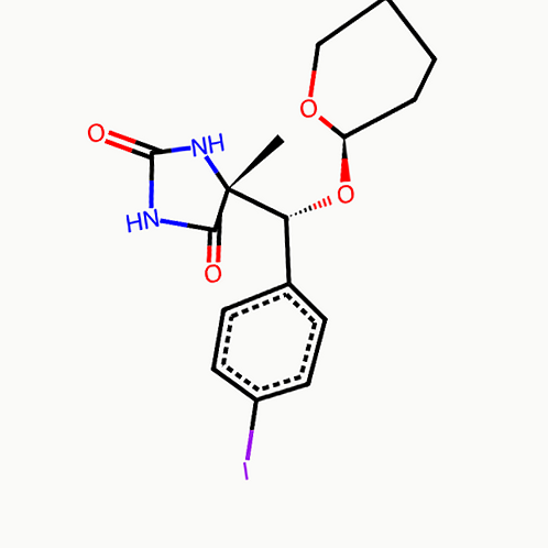 C[C@]1([C@H](O[C@@H]2CCCCO2)c2ccc(I)cc2)NC(=O)NC1=O